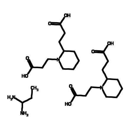 CCC(N)N.O=C(O)CCC1CCCCN1CCC(=O)O.O=C(O)CCC1CCCCN1CCC(=O)O